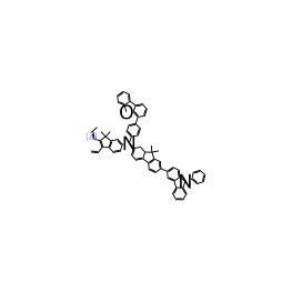 C=CC1=C(/C=C\C)C(C)(C)c2cc(N(C3=CC=C4c5ccc(-c6ccc7c(c6)c6ccccc6n7-c6ccccc6)cc5C(C)(C)C4C3)c3ccc(-c4cccc5c4oc4ccccc45)cc3)ccc21